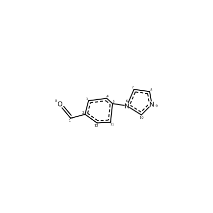 O=[C]c1ccc(-n2ccnc2)cc1